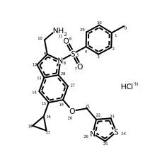 Cc1ccc(S(=O)(=O)n2c(CN)cc3cc(C4CC4)c(OCc4cscn4)cc32)cc1.Cl